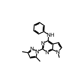 Cc1cc(C)n(-c2nc(Nc3ccccc3)c3ccn(C)c3n2)n1